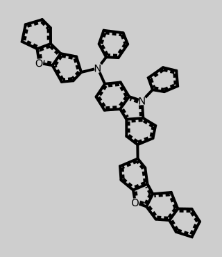 c1ccc(N(c2ccc3oc4ccccc4c3c2)c2ccc3c4cc(-c5ccc6oc7cc8ccccc8cc7c6c5)ccc4n(-c4ccccc4)c3c2)cc1